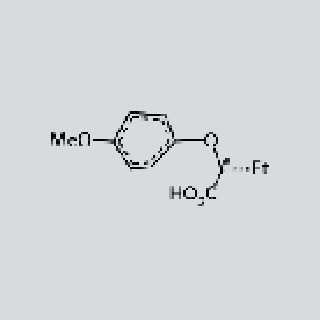 CC[C@@H](Oc1ccc(OC)cc1)C(=O)O